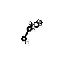 O=c1c2ccc(C#Cc3cccc(Cl)c3)cc2nc2n1CCC1(CC2)OCCO1